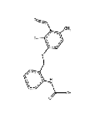 Cc1ccc(SCc2ccccc2NC(=O)O)c(F)c1C=O